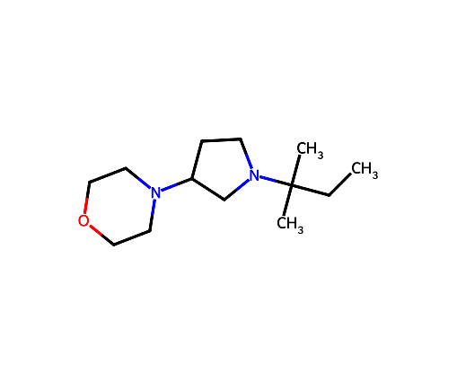 CCC(C)(C)N1CCC(N2CCOCC2)C1